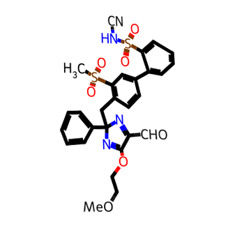 COCCOC1=NC(Cc2ccc(-c3ccccc3S(=O)(=O)NC#N)cc2S(C)(=O)=O)(c2ccccc2)N=C1C=O